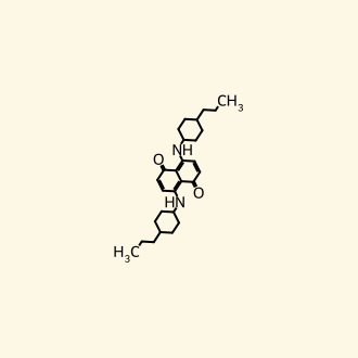 CCCC1CCC(NC2=C3C(=O)C=CC(NC4CCC(CCC)CC4)=C3C(=O)C=C2)CC1